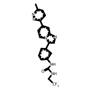 Cc1ccc(-c2ccn3c(-c4cccc(NC(=O)NCC(F)(F)F)c4)cnc3c2)nn1